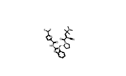 CN(C)C(C)(C)C=C(C#N)C(=O)N1CCC[C@@H]1Cn1c(NC(=O)c2ccc(C(F)F)s2)nc2ccccc21